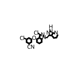 N#Cc1cc(Cl)cc(Oc2cccc3c2c(Cl)nn3Cc2n[nH]c3ncccc23)c1